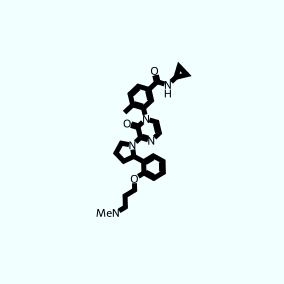 CNCCCOc1ccccc1C1CCCN1c1nccn(-c2cc(C(=O)NC3CC3)ccc2C)c1=O